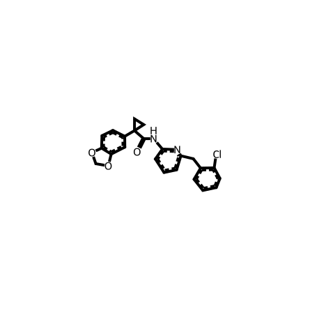 O=C(Nc1cccc(Cc2ccccc2Cl)n1)C1(c2ccc3c(c2)OCO3)CC1